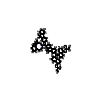 C=CC(=O)Oc1cccc2c(N(c3ccc4c(c3)C(C)(C)c3cc(N(C5=C/C(=C)C(C)(C)c6ccccc6C/C=C\5)c5ccc6c(c5)C(C)(C)c5ccccc5-6)ccc3-4)c3cccc4c(OC(=O)C=C)cccc34)cccc12